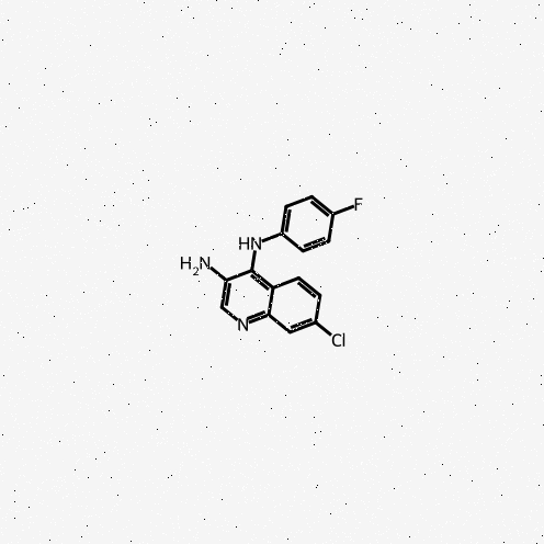 Nc1cnc2cc(Cl)ccc2c1Nc1ccc(F)cc1